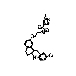 Cn1cc(S(=O)(=O)NCCOc2ccc3c(c2)C(Cc2cccc(Cl)c2)C(N)CC3)cn1